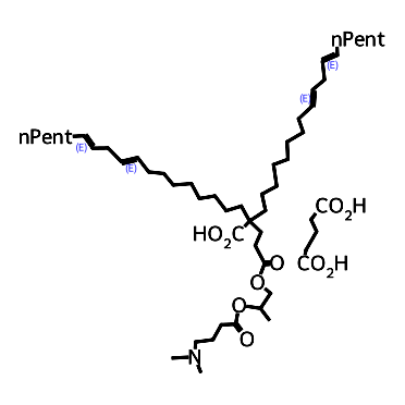 CCCCC/C=C/C/C=C/CCCCCCCCC(CCCCCCCC/C=C/C/C=C/CCCCC)(CCC(=O)OCC(C)OC(=O)CCCN(C)C)C(=O)O.O=C(O)CCCC(=O)O